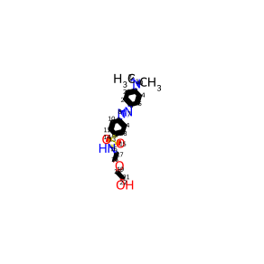 CN(C)c1ccc(/N=N/c2ccc(S(=O)(=O)NCCOCCO)cc2)cc1